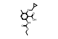 CCOC(=O)Nc1ccc(C)c(OCC2CC2)c1C(=O)O